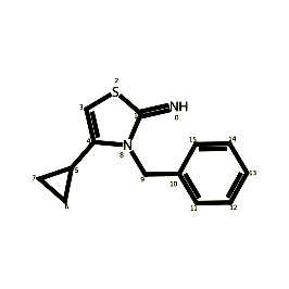 N=c1scc(C2CC2)n1Cc1ccccc1